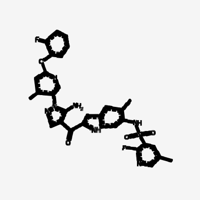 Cc1cnc(F)c(S(=O)(=O)Nc2cc3[nH]c(C(=O)c4cnn(-c5cnc(Oc6ccccc6F)cc5C)c4N)cc3cc2C)c1